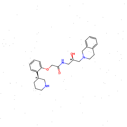 O=C(COc1ccccc1[C@@H]1CCCNC1)NC[C@@H](O)CN1CCc2ccccc2C1